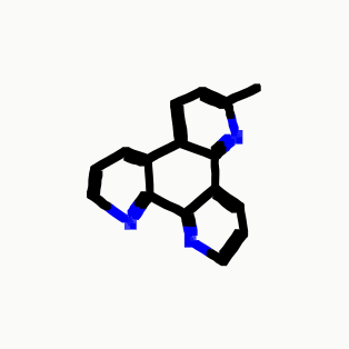 Cc1ccc2c3cccnc3c3ncccc3c2n1